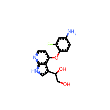 Nc1ccc(Oc2ccnc3[nH]cc(C(O)CO)c23)c(F)c1